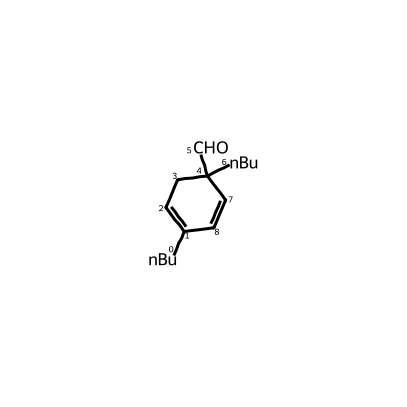 CCCCC1=CCC(C=O)(CCCC)C=C1